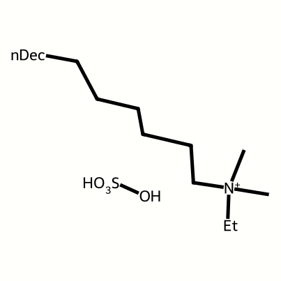 CCCCCCCCCCCCCCCC[N+](C)(C)CC.O=S(=O)(O)O